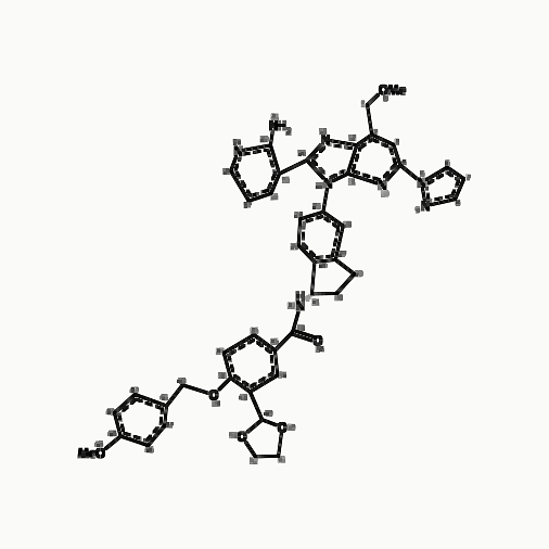 COCc1cc(-n2cccn2)nc2c1nc(-c1cccnc1N)n2-c1ccc2c(c1)CC[C@@H]2NC(=O)c1ccc(OCc2ccc(OC)cc2)c(C2OCCO2)c1